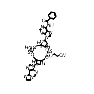 N#CCCOP1(=S)OC[C@H]2C[C@@H](n3cnc4c3ncn3ccnc43)[C@@H]2COP(O)(=S)OC[C@H]2O[C@@H](n3cnc4c(NC(=O)c5ccccc5)ncnc43)C[C@@H]2O1